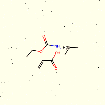 C=CC(=O)O.CCOC(N)=O.C[SiH2]C